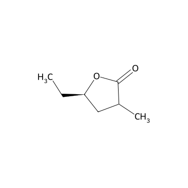 CC[C@@H]1CC(C)C(=O)O1